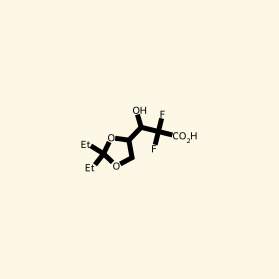 CCC1(CC)OCC(C(O)C(F)(F)C(=O)O)O1